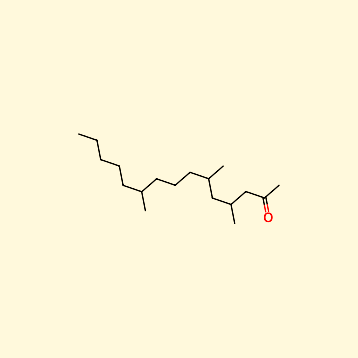 CCCCCC(C)CCCC(C)CC(C)CC(C)=O